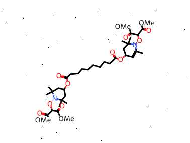 COC(=O)C(ON1C(C)=CC(OC(=O)CCCCCCCCC(=O)OC2CC(C)(C)N(OC(C(=O)OC)C(=O)OC)C(C)(C)C2)CC1(C)C)C(=O)OC